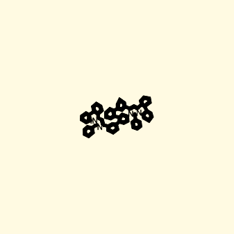 C1=C(c2cccc(-c3ccccc3-c3ccccc3-c3cccc(-c4cc(-c5ccccc5-c5ccccc5)nc(-c5ccccc5)n4)c3)c2)N=C(c2ccccc2)NC1c1ccccc1-c1ccccc1